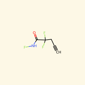 C#CCC(F)(F)C(=O)NF